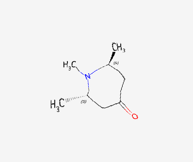 C[C@H]1CC(=O)C[C@H](C)N1C